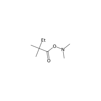 CCC(C)(C)C(=O)ON(C)C